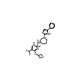 FC(F)C1=CNC(F)(N[C@@H]2CCC[C@H](c3ncc(-c4ccccc4)[nH]3)C2)N=C1OC1COC1